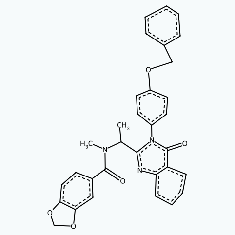 CC(c1nc2ccccc2c(=O)n1-c1ccc(OCc2ccccc2)cc1)N(C)C(=O)c1ccc2c(c1)OCO2